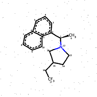 C[C@H](c1cccc2ccccc12)N1CCC(CC(F)(F)F)C1